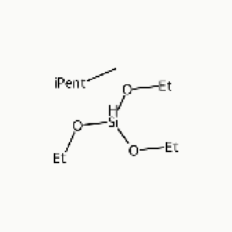 CCCC(C)C.CCO[SiH](OCC)OCC